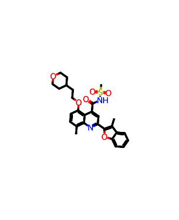 Cc1c(-c2cc(C(=O)NS(C)(=O)=O)c3c(OCCC4CCOCC4)ccc(C)c3n2)oc2ccccc12